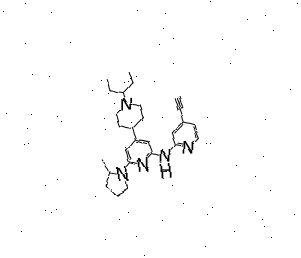 C#Cc1ccnc(Nc2cc(C3CCN(C(CC)CC)CC3)cc(N3CCCC3C)n2)c1